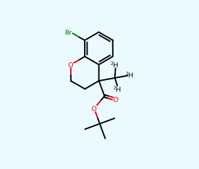 [2H]C([2H])([2H])C1(C(=O)OC(C)(C)C)CCOc2c(Br)cccc21